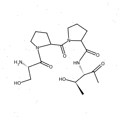 CC(=O)[C@@H](NC(=O)C1CCCN1C(=O)C1CCCN1C(=O)[C@@H](N)CO)[C@@H](C)O